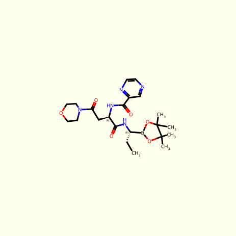 CC[C@H](NC(=O)[C@@H](CC(=O)N1CCOCC1)NC(=O)c1cnccn1)B1OC(C)(C)C(C)(C)O1